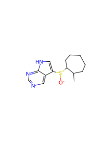 CC1CCCCCC1[S+]([O-])c1c[nH]c2ncncc12